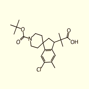 Cc1cc2c(cc1Cl)C1(CCN(C(=O)OC(C)(C)C)CC1)CC2C(C)(C)C(=O)O